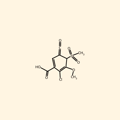 COC1=C(Cl)C(C(=O)O)=CC(=C=O)C1S(C)(=O)=O